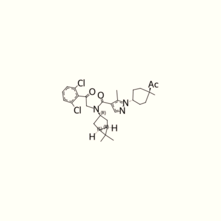 Cc1c(C(=O)N(CC(=O)c2c(Cl)cccc2Cl)[C@H]2C[C@@H]3[C@H](C2)C3(C)C)cnn1[C@H]1CC[C@](C)(C(C)=O)CC1